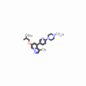 COC(C)COc1cc(-c2ccc(N3CCN(C(=O)O)CC3)nc2)c2c(C#N)cnn2c1